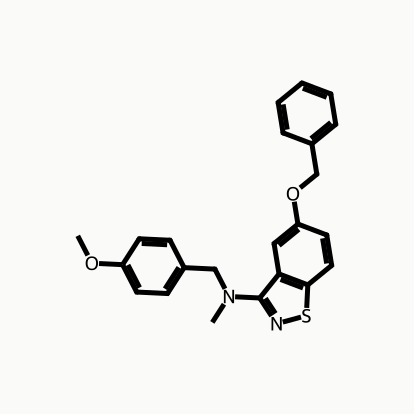 COc1ccc(CN(C)c2nsc3ccc(OCc4ccccc4)cc23)cc1